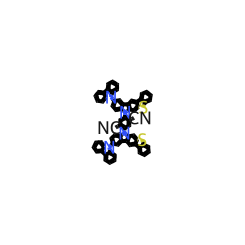 N#Cc1cc(-n2c3ccc(-n4c5ccccc5c5ccccc54)cc3c3cc4c(cc32)sc2ccccc24)c(C#N)cc1-n1c2ccc(-n3c4ccccc4c4ccccc43)cc2c2cc3c(cc21)sc1ccccc13